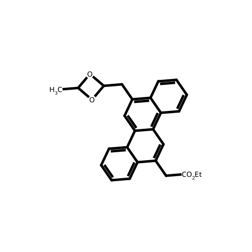 CCOC(=O)Cc1cc2c3ccccc3c(CC3OC(C)O3)cc2c2ccccc12